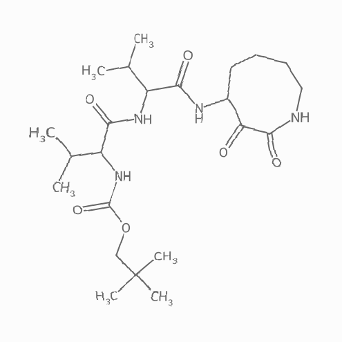 CC(C)C(NC(=O)OCC(C)(C)C)C(=O)NC(C(=O)NC1CCCCNC(=O)C1=O)C(C)C